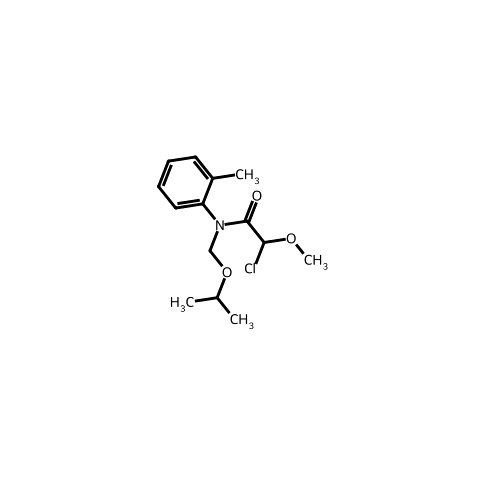 COC(Cl)C(=O)N(COC(C)C)c1ccccc1C